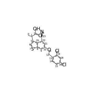 CC(C(=O)O)c1csc2cc(OCc3ccc(Cl)cc3Cl)cc(C#N)c12